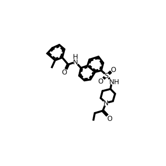 CCC(=O)N1CCC(NS(=O)(=O)c2cccc3c(NC(=O)c4ccccc4C)cccc23)CC1